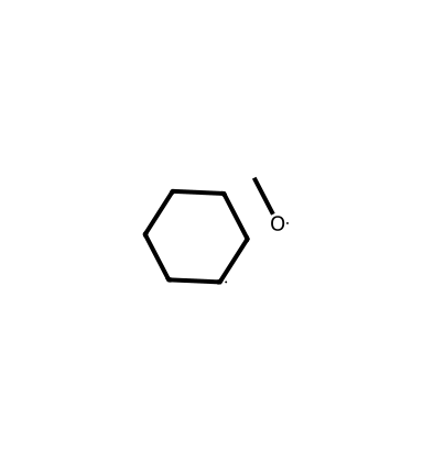 C[O].[CH]1CCCCC1